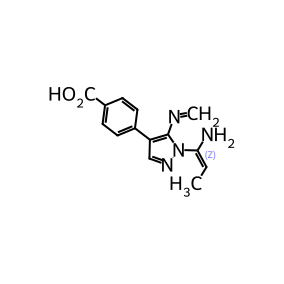 C=Nc1c(-c2ccc(C(=O)O)cc2)cnn1/C(N)=C\C